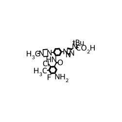 Cc1c(F)c(N)cc(C(=O)Nc2cc(-n3cc(N(C(=O)O)C(C)(C)C)nn3)ccc2N2CCN(C)CC2)c1Cl